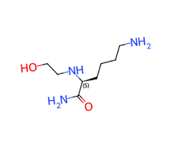 NCCCC[C@H](NCCO)C(N)=O